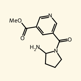 COC(=O)c1cncc(C(=O)N2CCCC2N)c1